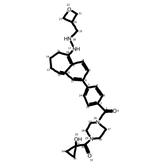 O=C(c1ccc(-c2ccc3c(c2)=CCCCC=3NNCC2COC2)cc1)N1CCN(C(=O)C2(O)CC2)CC1